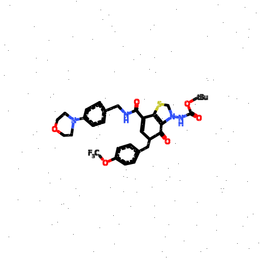 CC(C)(C)OC(=O)NN1CSC2=C1C(=O)C(Cc1ccc(OC(F)(F)F)cc1)C=C2C(=O)NCc1ccc(N2CCOCC2)cc1